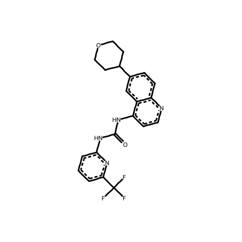 O=C(Nc1cccc(C(F)(F)F)n1)Nc1ccnc2ccc(C3CCOCC3)cc12